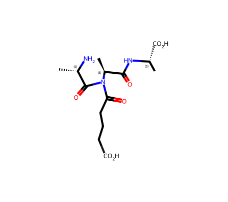 C[C@H](N)C(=O)N(C(=O)CCCC(=O)O)[C@@H](C)C(=O)N[C@@H](C)C(=O)O